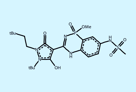 COP1(=O)N=C(c2c(O)n(C(C)(C)C)n(CCC(C)(C)C)c2=O)Nc2ccc(NS(C)(=O)=O)cc21